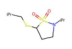 CC(C)CSC1CCN(C(C)C)S1(=O)=O